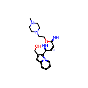 CN1CCN(CCOC(=N)/C=C\C(=N)c2c(CO)cc3ccccn23)CC1